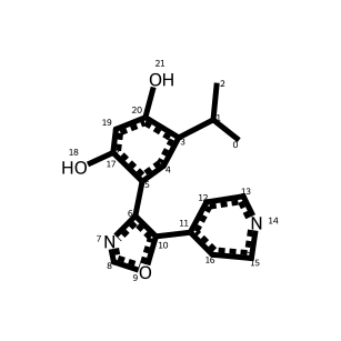 CC(C)c1cc(-c2ncoc2-c2ccncc2)c(O)cc1O